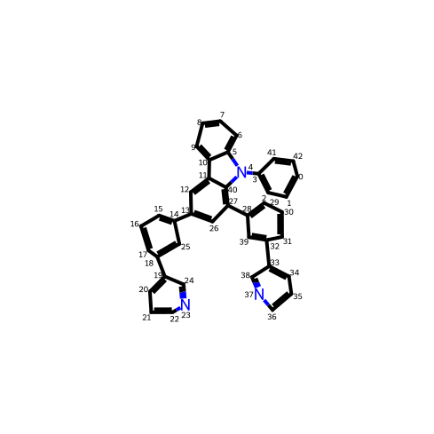 c1ccc(-n2c3ccccc3c3cc(-c4cccc(-c5cccnc5)c4)cc(-c4cccc(-c5cccnc5)c4)c32)cc1